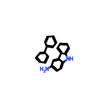 Nc1ccc2[nH]c3ccccc3c2c1.c1ccc(-c2ccccc2)cc1